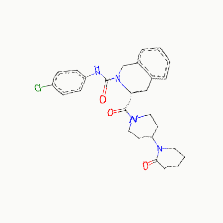 O=C([C@H]1Cc2ccccc2CN1C(=O)Nc1ccc(Cl)cc1)N1CCC(N2CCCCC2=O)CC1